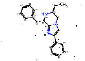 CCC1Cn2cc(-c3ccccc3)nc2[C@H](Cc2ccccc2)N1